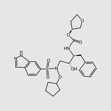 O=C(N[C@@H](Cc1ccccc1)[C@H](O)CN(OC1CCCC1)S(=O)(=O)c1ccc2cn[nH]c2c1)O[C@H]1CCOC1